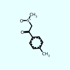 Cc1ccc(C(=O)C[S+](C)[O-])cc1